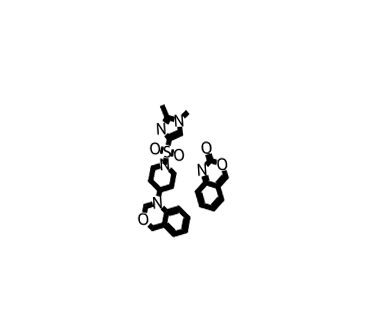 Cc1nc(S(=O)(=O)N2CCC(N3COCc4ccccc43)CC2)cn1C.O=c1nc2ccccc2co1